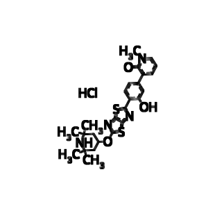 Cl.Cn1cccc(-c2ccc(-c3nc4sc(OC5CC(C)(C)NC(C)(C)C5)nc4s3)c(O)c2)c1=O